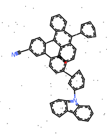 N#Cc1ccc(-c2c3ccccc3c(-c3ccccc3)c3ccccc23)c(-c2ccc(-c3cccc(-n4c5ccccc5c5ccccc54)c3)cc2)c1